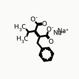 CC(C)/C(C(=O)[O-])=C(\Cc1ccccc1)C(=O)[O-].[Na+].[Na+]